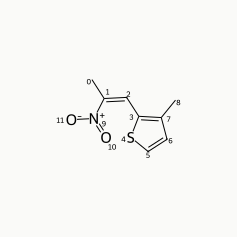 C/C(=C/c1sccc1C)[N+](=O)[O-]